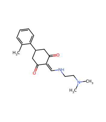 Cc1ccccc1C1CC(=O)C(=CNCCN(C)C)C(=O)C1